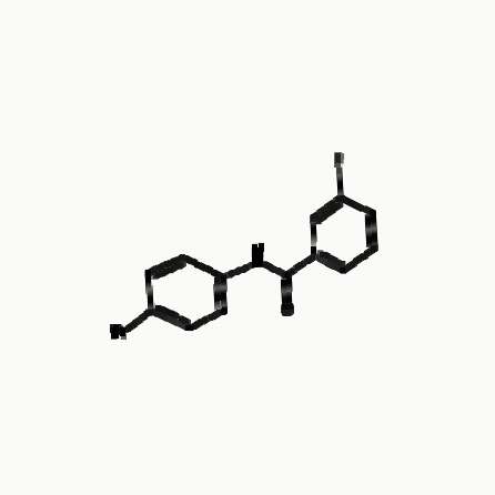 CC(C)c1ccc(NC(=O)c2cccc(F)c2)cc1